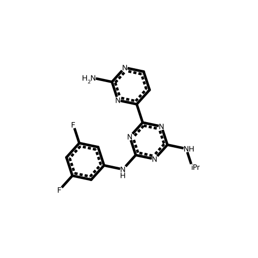 CC(C)Nc1nc(Nc2cc(F)cc(F)c2)nc(-c2ccnc(N)n2)n1